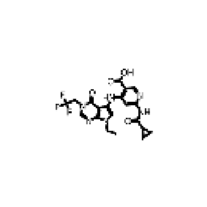 CCn1cc(Nc2cc(NC(=O)C3CC3)ncc2C(=O)O)c2c(=O)n(CC(F)(F)F)cnc21